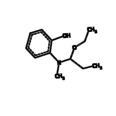 CCOC(CC)N(C)c1ccccc1O